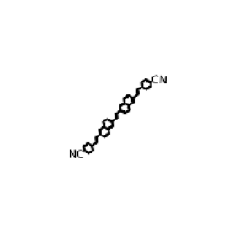 N#Cc1ccc(/C=C/c2ccc3cc(/C=C/c4ccc5cc(/C=C/c6ccc(C#N)cc6)ccc5c4)ccc3c2)cc1